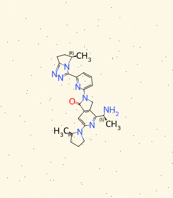 C[C@H](N)c1nc(N2CCC[C@H]2C)cc2c1CN(c1cccc(-c3nnc4n3[C@H](C)CC4)n1)C2=O